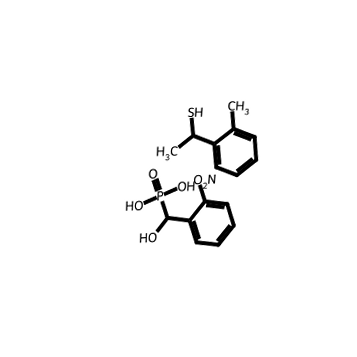 Cc1ccccc1C(C)S.O=[N+]([O-])c1ccccc1C(O)P(=O)(O)O